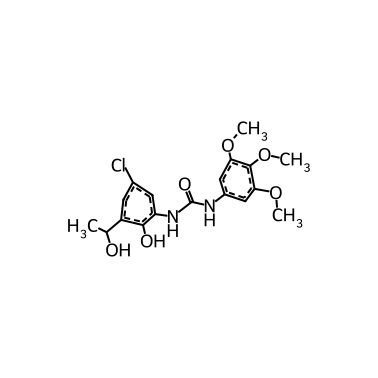 COc1cc(NC(=O)Nc2cc(Cl)cc(C(C)O)c2O)cc(OC)c1OC